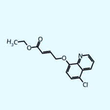 CCOC(=O)/C=C/COc1ccc(Cl)c2cccnc12